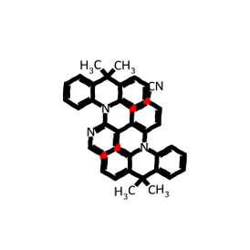 CC1(C)c2ccccc2N(c2ccc(C#N)cc2-c2cccnc2N2c3ccccc3C(C)(C)c3ccccc32)c2ccccc21